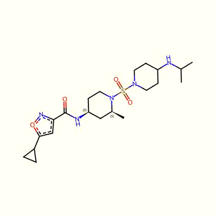 CC(C)NC1CCN(S(=O)(=O)N2CC[C@H](NC(=O)c3cc(C4CC4)on3)C[C@@H]2C)CC1